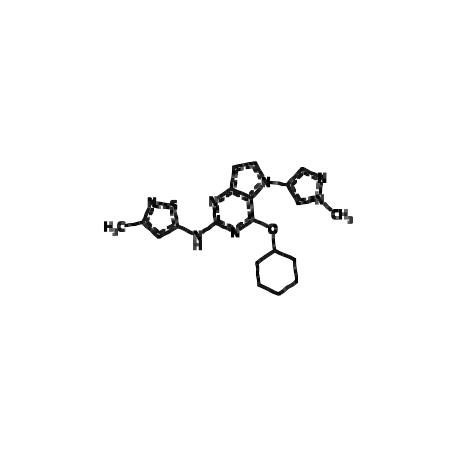 Cc1cc(Nc2nc(OC3CCCCC3)c3c(ccn3-c3cnn(C)c3)n2)sn1